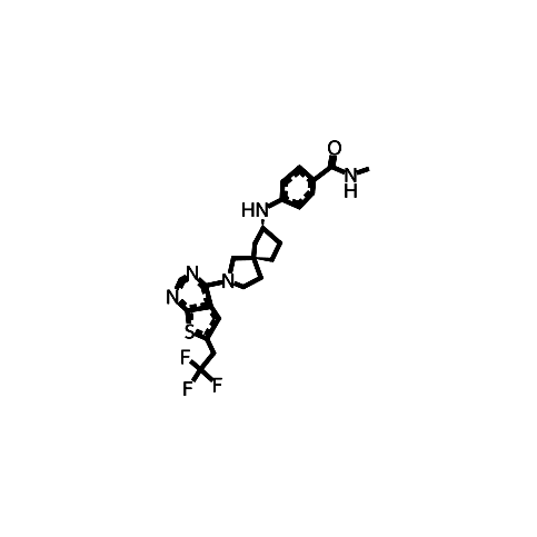 CNC(=O)c1ccc(N[C@@H]2CC[C@]3(CCN(c4ncnc5sc(CC(F)(F)F)cc45)C3)C2)cc1